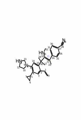 C=Cc1cc(C2CC2)c(N2CCNC2)cc1C(C)(C)/C(NC)=C(\C)c1ccc(C#N)cc1